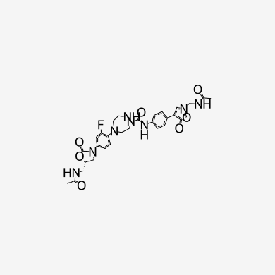 CC(=O)NC[C@H]1CN(c2ccc(N3CCNN(C(=O)Nc4ccc(-c5cn(CNC(C)=O)oc5=O)cc4)CC3)c(F)c2)C(=O)O1